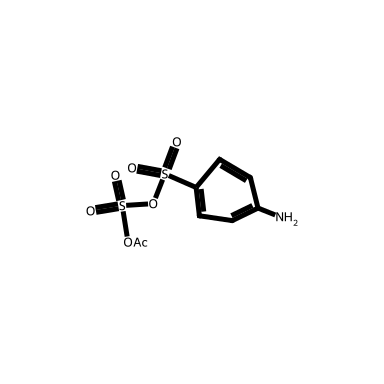 CC(=O)OS(=O)(=O)OS(=O)(=O)c1ccc(N)cc1